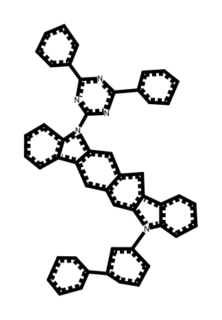 c1ccc(-c2cccc(-n3c4ccccc4c4cc5cc6c(cc5cc43)c3ccccc3n6-c3nc(-c4ccccc4)nc(-c4ccccc4)n3)c2)cc1